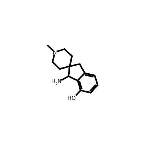 CN1CCC2(CC1)Cc1cccc(O)c1C2N